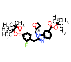 CC(C)(C)OC(=O)c1ccc2nc(Cc3ccc(B4OC(C)(C)C(C)(C)O4)cc3F)n(C[C@@H]3CCO3)c2c1